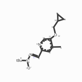 Cc1cc(/C=N/[S+]([O-])C(C)(C)C)ncc1OCC1CC1